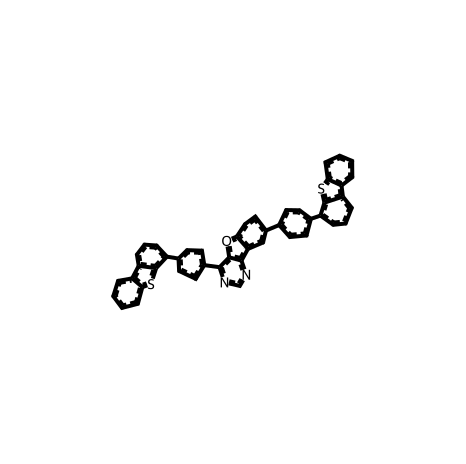 c1ccc2c(c1)sc1c(-c3ccc(-c4ccc5oc6c(-c7ccc(-c8cccc9c8sc8ccccc89)cc7)ncnc6c5c4)cc3)cccc12